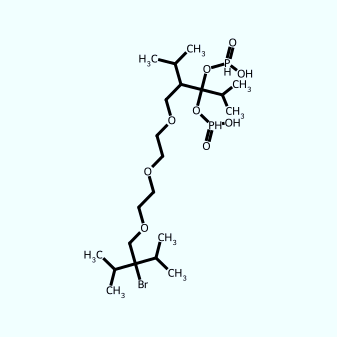 CC(C)C(COCCOCCOCC(Br)(C(C)C)C(C)C)C(O[PH](=O)O)(O[PH](=O)O)C(C)C